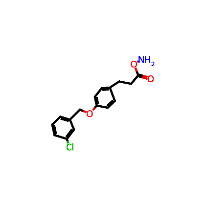 NOC(=O)CCc1ccc(OCc2cccc(Cl)c2)cc1